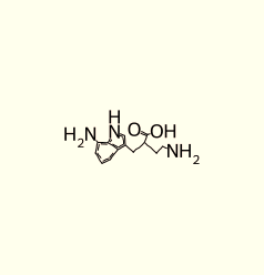 NCCC(Cc1c[nH]c2c(N)cccc12)C(=O)O